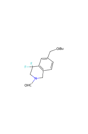 CC(C)COCc1ccc2c(c1)C(F)(F)CN(C=O)C2